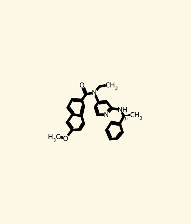 CCN(C(=O)c1ccc2cc(OC)ccc2c1)c1ccnc(N[C@@H](C)c2ccccc2)c1